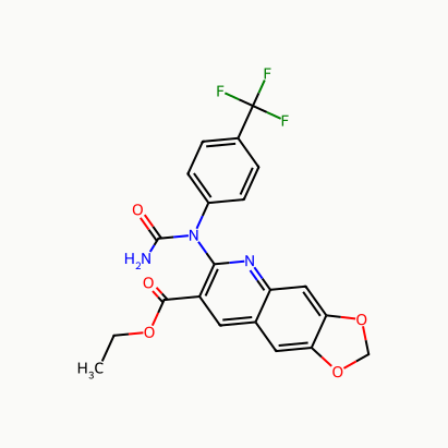 CCOC(=O)c1cc2cc3c(cc2nc1N(C(N)=O)c1ccc(C(F)(F)F)cc1)OCO3